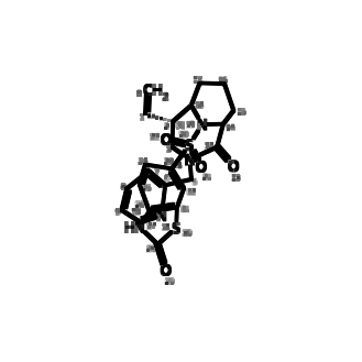 C=C[C@H]1CN(Cc2ccccn2)C(=O)C2CCCC1N2S(=O)(=O)c1ccc2[nH]c(=O)sc2c1